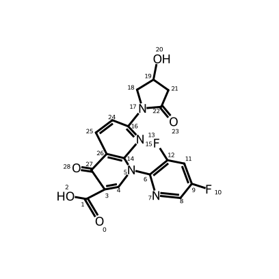 O=C(O)c1cn(-c2ncc(F)cc2F)c2nc(N3CC(O)CC3=O)ccc2c1=O